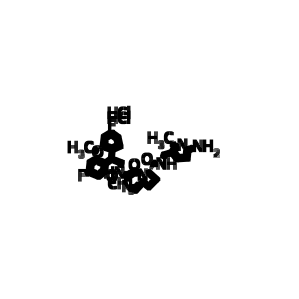 COc1cc(F)ccc1C(CNc1ncc2n(c1=O)[C@H](C(=O)NCc1ccc(N)nc1C)CC2)c1ccc(F)cc1OC.Cl.Cl